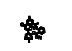 Cc1cc(C(C)Nc2ccccc2C(=O)O)c2oc(-c3cnc(C)nc3)cc(=O)c2c1